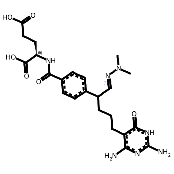 CN(C)/N=C/C(CCCc1c(N)nc(N)[nH]c1=O)c1ccc(C(=O)N[C@H](CCC(=O)O)C(=O)O)cc1